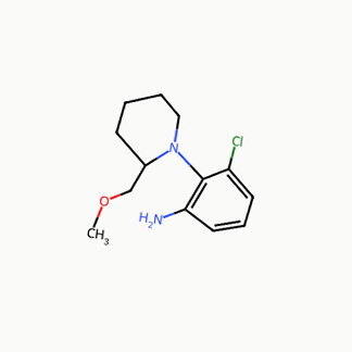 COCC1CCCCN1c1c(N)cccc1Cl